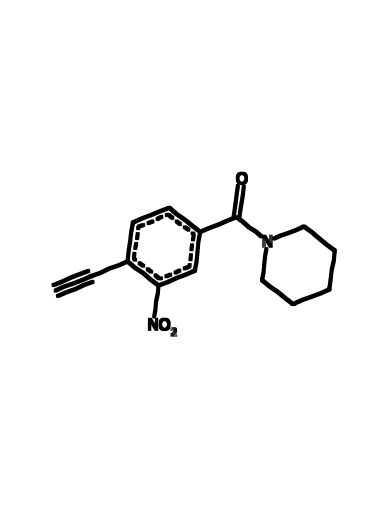 C#Cc1ccc(C(=O)N2CCCCC2)cc1[N+](=O)[O-]